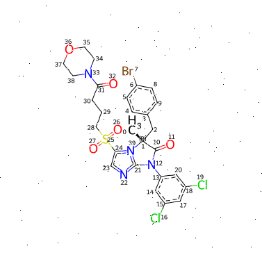 C[C@@]1(Cc2ccc(Br)cc2)C(=O)N(c2cc(Cl)cc(Cl)c2)c2ncc(S(=O)(=O)CCCC(=O)N3CCOCC3)n21